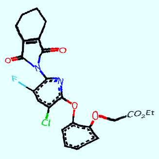 CCOC(=O)COc1ccccc1Oc1nc(N2C(=O)C3=C(CCCC3)C2=O)c(F)cc1Cl